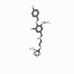 COc1cc(CNCCSc2nnnn2C)cc(Cl)c1OCc1ccc(Cl)cc1